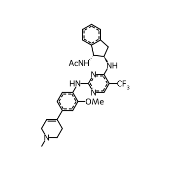 COc1cc(C2=CCN(C)CC2)ccc1Nc1ncc(C(F)(F)F)c(N[C@@H]2Cc3ccccc3[C@H]2NC(C)=O)n1